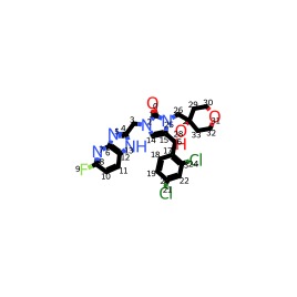 O=c1n(Cc2nc3nc(F)ccc3[nH]2)cc(Cc2ccc(Cl)cc2Cl)n1CC1(O)CCOCC1